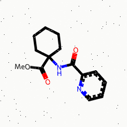 COC(=O)C1(NC(=O)c2ccccn2)CCCCC1